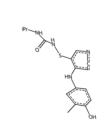 Cc1cc(Nc2ccncc2SNC(=O)NC(C)C)ccc1O